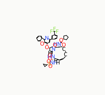 O=C(N[C@H]1CCCCC/C=C\[C@@H]2C[C@@]2(C(=O)NS(=O)(=O)C2CC2)NC(=O)[C@@H]2C[C@@H](Oc3cc(-c4cccc(C(F)(F)F)c4)nc4c3oc3ccccc34)CN2C1=O)OC1CCCC1